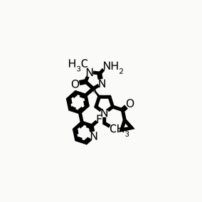 CCN1CC([C@]2(c3cccc(-c4cccnc4F)c3)N=C(N)N(C)C2=O)CC1C(=O)C1CC1